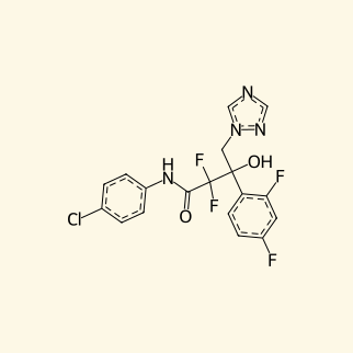 O=C(Nc1ccc(Cl)cc1)C(F)(F)C(O)(Cn1cncn1)c1ccc(F)cc1F